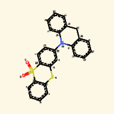 O=S1(=O)c2ccccc2Sc2cc(N3c4ccccc4Cc4ccccc43)ccc21